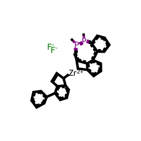 Cp1c2cc3c(cccc3c3ccccc3p1C)[CH]2[Zr+2][CH]1C=Cc2c(-c3ccccc3)cccc21.[F-].[F-]